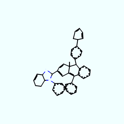 CC12C=CC(C3NC4C=CCCC4N3c3ccccc3)=CC1=C(c1ccccc1)c1ccccc1C2c1ccc(C2C=CC=CC2)cc1